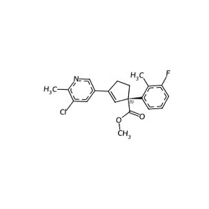 COC(=O)[C@]1(c2cccc(F)c2C)C=C(c2cnc(C)c(Cl)c2)CC1